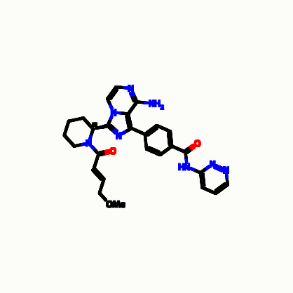 COCC=CC(=O)N1CCCC[C@H]1c1nc(-c2ccc(C(=O)Nc3cccnn3)cc2)c2c(N)nccn12